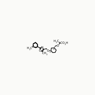 Cc1cccc(-c2nc(CO[C@@H]3CCC[C@H](COC(C)C(=O)O)C3)c(C)o2)c1